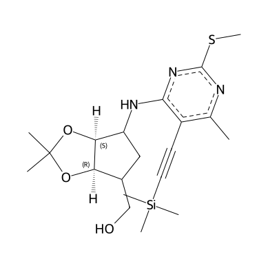 CSc1nc(C)c(C#C[Si](C)(C)C)c(NC2CC(CO)[C@H]3OC(C)(C)O[C@@H]23)n1